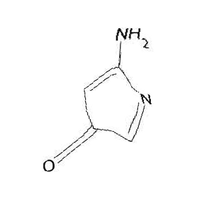 NC1=CC(=O)C=N1